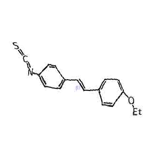 CCOc1ccc(/C=C/c2ccc(N=C=S)cc2)cc1